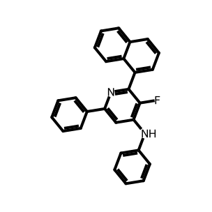 Fc1c(Nc2ccccc2)cc(-c2ccccc2)nc1-c1cccc2ccccc12